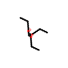 CCCCCCCC/C=C\CCCCCCCCOc1ccc(CCOC(=O)CCCCCCC/C=C\CCCCCCCC)cc1OCCCCCCCC/C=C\CCCCCCCC